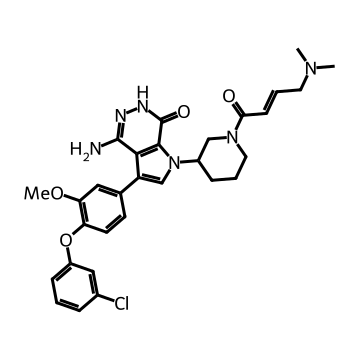 COc1cc(-c2cn(C3CCCN(C(=O)C=CCN(C)C)C3)c3c(=O)[nH]nc(N)c23)ccc1Oc1cccc(Cl)c1